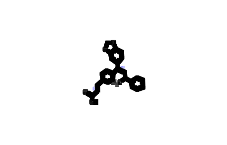 CC(/C=C(\c1ccc(/C=C/C(=O)O)cc1)c1ccc2c(c1)OCO2)c1ccccc1